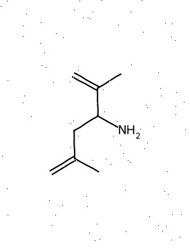 C=C(C)CC(N)C(=C)C